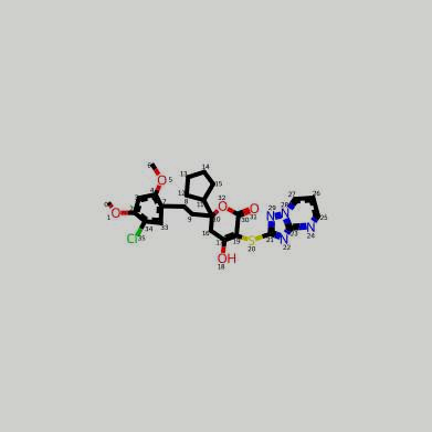 COc1cc(OC)c(CCC2(C3CCCC3)CC(O)=C(Sc3nc4ncccn4n3)C(=O)O2)cc1Cl